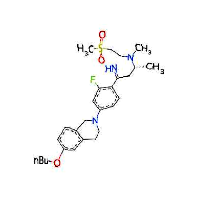 CCCCOc1ccc2c(c1)CCN(c1ccc(C(=N)C[C@@H](C)N(C)CCS(C)(=O)=O)c(F)c1)C2